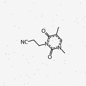 Cc1cn(C)c(=O)n(CCC#N)c1=O